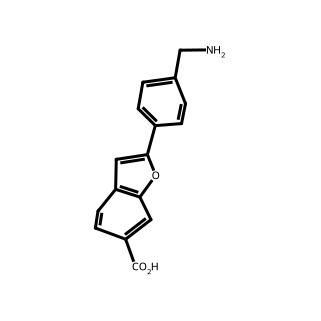 NCc1ccc(-c2cc3ccc(C(=O)O)cc3o2)cc1